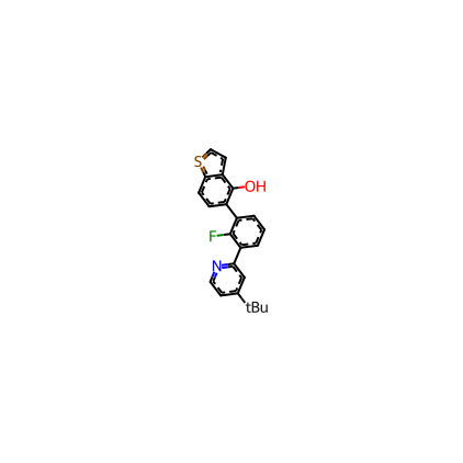 CC(C)(C)c1ccnc(-c2cccc(-c3ccc4sccc4c3O)c2F)c1